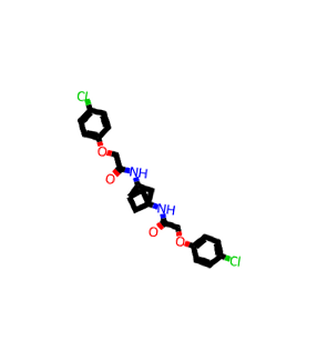 O=C(COc1ccc(Cl)cc1)NC1CC2(NC(=O)COc3ccc(Cl)cc3)CC1C2